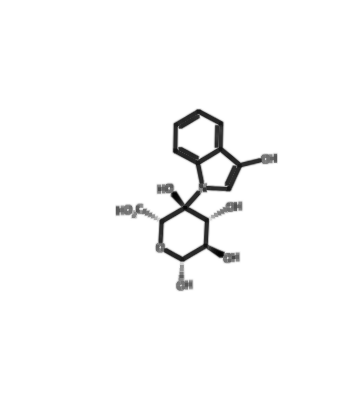 O=C(O)[C@H]1O[C@@H](O)[C@H](O)[C@@H](O)[C@@]1(O)n1cc(O)c2ccccc21